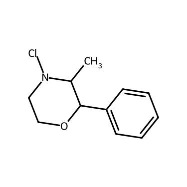 CC1C(c2ccccc2)OCCN1Cl